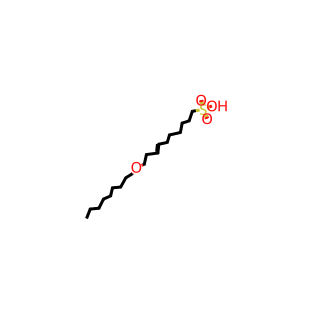 CCCCCCCCCOCCC=CCCCCCCS(=O)(=O)O